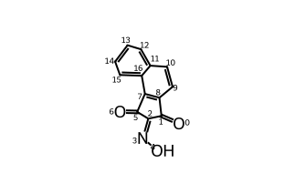 O=c1/c(=N\O)c(=O)c2c1ccc1ccccc12